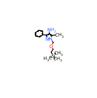 Cc1c(N)c(-c2ccccc2)nn1COCC[Si](C)(C)C